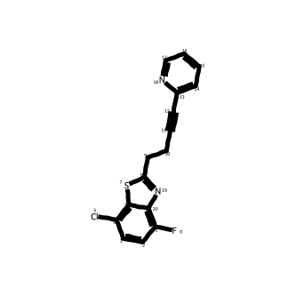 Fc1ccc(Cl)c2sc(CCC#Cc3ccccn3)nc12